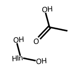 CC(=O)O.[OH][InH][OH]